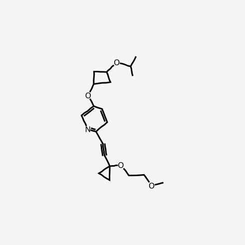 COCCOC1(C#Cc2ccc(OC3CC(OC(C)C)C3)cn2)CC1